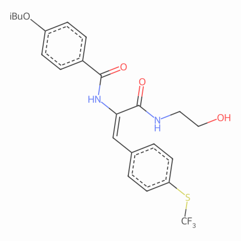 CC(C)COc1ccc(C(=O)N/C(=C/c2ccc(SC(F)(F)F)cc2)C(=O)NCCO)cc1